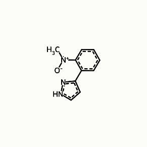 C[N+]([O-])c1ccccc1-c1cc[nH]n1